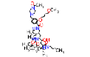 CCCCNC(=O)C(CC(O)C(CC(CNC(=O)c1ccc(CN2CCN(C(C)=O)CC2)cc1OCCCCOC)C(C)C)NC(=O)OC(C)(C)C)C(C)C